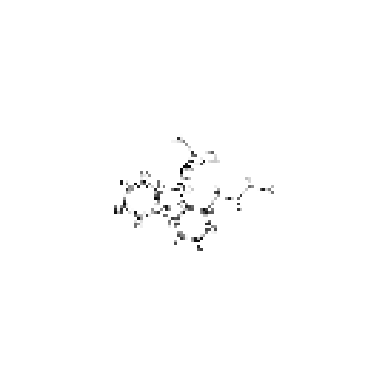 CCCCc1cccc2c1C(=C=C(C)C)c1ccccc1-2